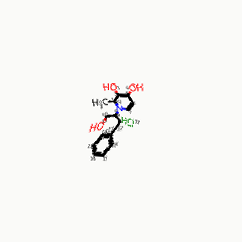 C[C@H]1C(O)=C(O)C=CN1C(CO)Cc1ccccc1.Cl